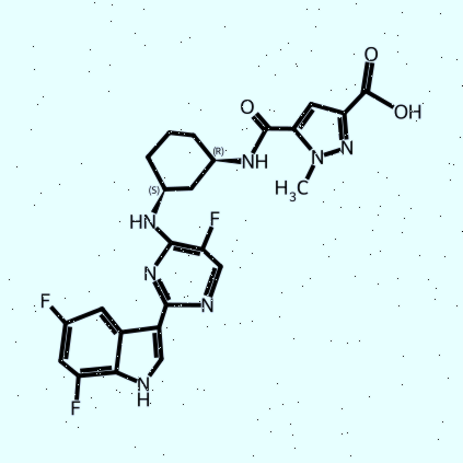 Cn1nc(C(=O)O)cc1C(=O)N[C@@H]1CCC[C@H](Nc2nc(-c3c[nH]c4c(F)cc(F)cc34)ncc2F)C1